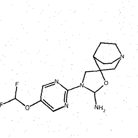 NC1OC2(CN3CCC2CC3)CN1c1ncc(OC(F)F)cn1